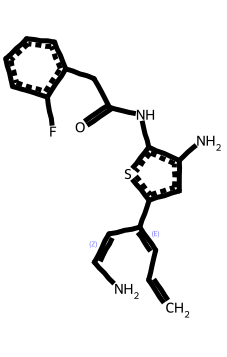 C=C/C=C(\C=C/N)c1cc(N)c(NC(=O)Cc2ccccc2F)s1